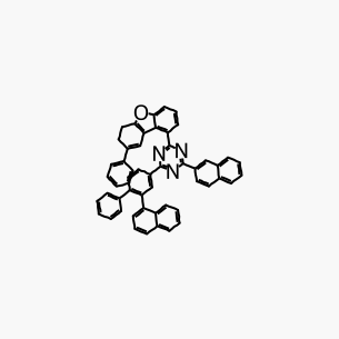 C1=C(c2ccccc2)CCc2oc3cccc(-c4nc(-c5ccc(-c6ccccc6)c(-c6cccc7ccccc67)c5)nc(-c5ccc6ccccc6c5)n4)c3c21